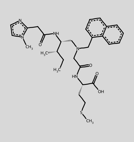 CC[C@H](C)[C@@H](CN(CC(=O)N[C@@H](CCSC)C(=O)O)Cc1cccc2ccccc12)NC(=O)Cc1nccn1C